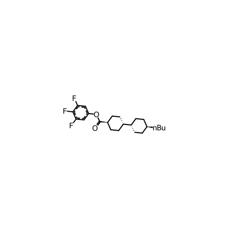 CCCC[C@H]1CC[C@H]([C@H]2CC[C@H](C(=O)Oc3cc(F)c(F)c(F)c3)CC2)CC1